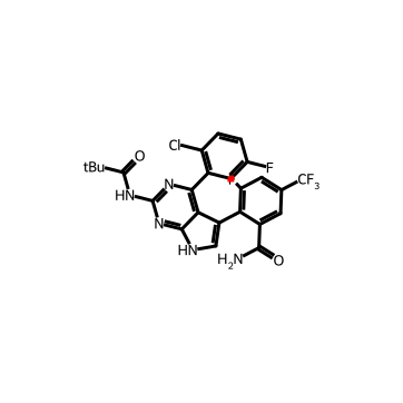 CC(C)(C)C(=O)Nc1nc(-c2cc(F)ccc2Cl)c2c(-c3c(F)cc(C(F)(F)F)cc3C(N)=O)c[nH]c2n1